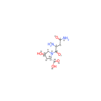 NC(=O)CC(N)C(=O)N1C[C@H](O)C[C@H]1C(=O)O